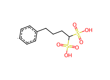 O=S(=O)(O)C(CCCc1cc[c]cc1)S(=O)(=O)O